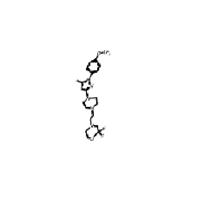 Cc1cc(N2CCN(CCN3CCOC(F)(F)C3)CC2)nn1-c1ccc(OC(F)(F)F)cc1